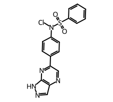 O=S(=O)(c1ccccc1)N(Cl)c1ccc(-c2cnc3cn[nH]c3n2)cc1